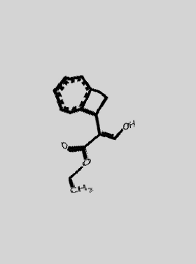 CCOC(=O)/C(=C/O)C1Cc2ccccc21